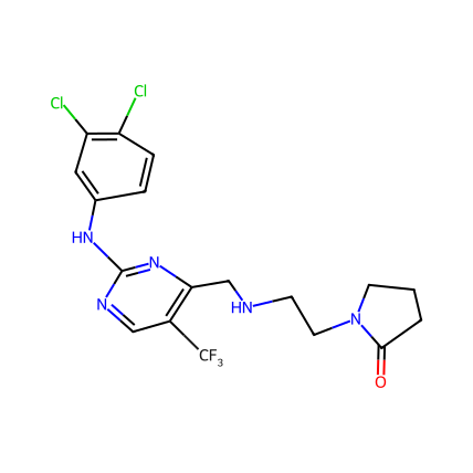 O=C1CCCN1CCNCc1nc(Nc2ccc(Cl)c(Cl)c2)ncc1C(F)(F)F